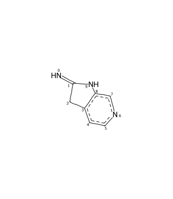 N=C1Cc2ccncc2N1